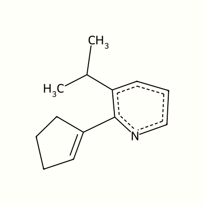 CC(C)c1cccnc1C1=CCCC1